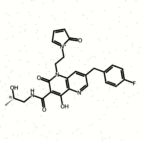 C[C@H](O)CNC(=O)c1c(O)c2ncc(Cc3ccc(F)cc3)cc2n(CC[N+]2=CC=CC2=O)c1=O